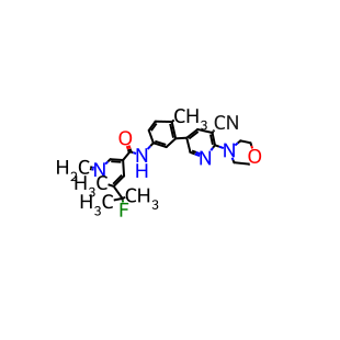 C=N/C=C(\C=C(/C)C(C)(C)F)C(=O)Nc1ccc(C)c(-c2cnc(N3CCOCC3)c(C#N)c2)c1